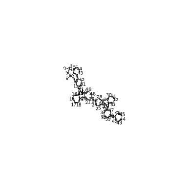 CC1(C)CC(C)(C)c2c(-c3ccc(-n4c5ccccc5c5cc(-c6ccc7c(c6)c6ccccc6n7-c6cccc(-c7ccccc7)c6)ccc54)cc3)cccc21